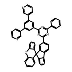 c1ccc(-c2nc(-c3cc(-c4cccnc4)cc(-c4cccnc4)c3)nc(-c3ccc4c(c3)C3(c5ccccc5Oc5ccccc53)c3ccccc3-4)n2)cc1